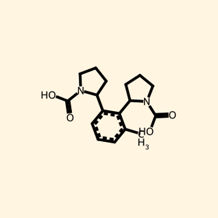 Cc1cccc(C2CCCN2C(=O)O)c1C1CCCN1C(=O)O